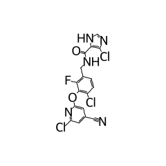 N#Cc1cc(Cl)nc(Oc2c(Cl)ccc(CNC(=O)c3[nH]cnc3Cl)c2F)c1